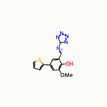 COc1cc(-c2cccs2)cc(/C=N/C2N=NN=N2)c1O